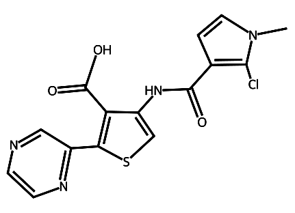 Cn1ccc(C(=O)Nc2csc(-c3cnccn3)c2C(=O)O)c1Cl